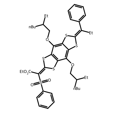 CCCCC(CC)COc1c2c(c(OCC(CC)CCCC)c3c1SC(=C(C(=O)OCC)S(=O)(=O)c1ccccc1)S3)SC(=C(CC)c1ccccc1)S2